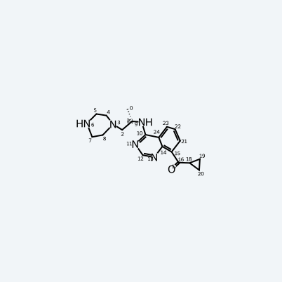 C[C@@H](CN1CCNCC1)Nc1ncnc2c(C(=O)C3CC3)cccc12